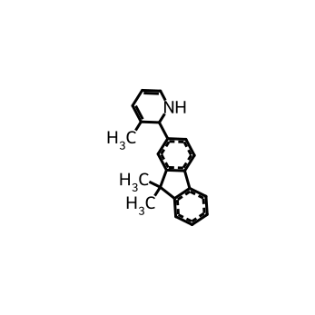 CC1=CC=CNC1c1ccc2c(c1)C(C)(C)c1ccccc1-2